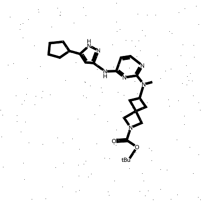 CN(c1nccc(Nc2cc(C3CCCC3)[nH]n2)n1)C1CC2(C1)CN(C(=O)OC(C)(C)C)C2